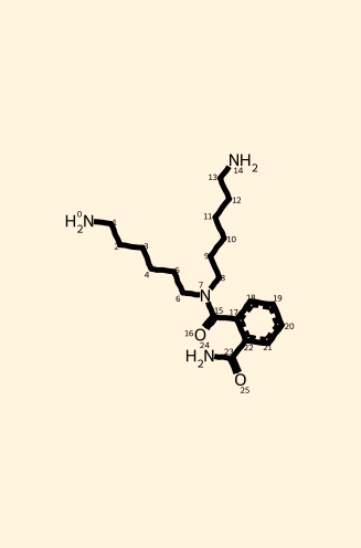 NCCCCCCN(CCCCCCN)C(=O)c1ccccc1C(N)=O